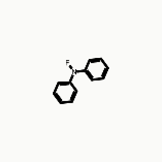 FN(c1ccccc1)c1ccccc1